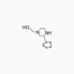 OCCN1CCNC(c2cccs2)C1